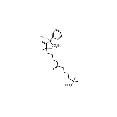 CCOC(=O)[N+](C(=O)OCC)(C(=O)C(C)(C)CCCCC(=O)CCCCC(C)(C)C(=O)O)c1ccccc1